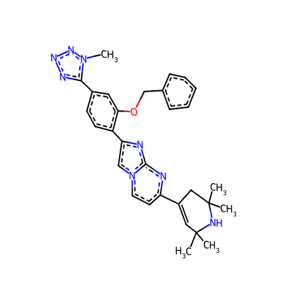 Cn1nnnc1-c1ccc(-c2cn3ccc(C4=CC(C)(C)NC(C)(C)C4)nc3n2)c(OCc2ccccc2)c1